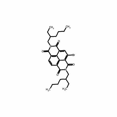 CCCCC(CC)CN1C(=O)c2ccc3c4c(c(Br)cc(c24)C1=O)C(=O)N(CC(CC)CCCC)C3=O